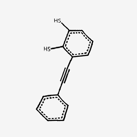 Sc1cccc(C#Cc2ccccc2)c1S